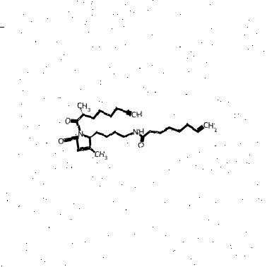 C#CCCCC[C@@H](C)C(=O)N1C(=O)C=C(C)[C@@H]1CCCCNC(=O)CCCCCC=C